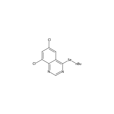 CCCC[Se]c1ncnc2c(Cl)cc(Cl)cc12